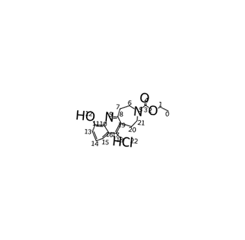 CCOC(=O)N1CCc2nc3c(O)cccc3c(C)c2CC1.Cl